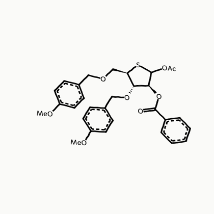 COc1ccc(COC[C@H]2SC(OC(C)=O)[C@@H](OC(=O)c3ccccc3)[C@@H]2OCc2ccc(OC)cc2)cc1